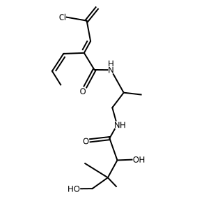 C=C(Cl)/C=C(\C=C/C)C(=O)NC(C)CNC(=O)C(O)C(C)(C)CO